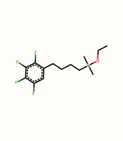 CCO[Si](C)(C)CCCCc1cc(F)c(F)c(F)c1F